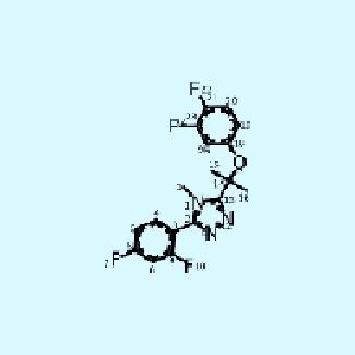 Cn1c(-c2ccc(F)cc2F)nnc1C(C)(C)Oc1ccc(F)c(F)c1